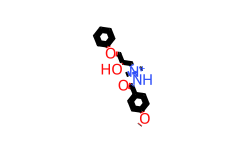 COc1ccc(C(=O)N[N+](C)(C)CC(O)COc2ccccc2)cc1